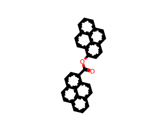 O=C(Oc1ccc2ccc3cccc4ccc1c2c34)c1ccc2ccc3cccc4ccc1c2c34